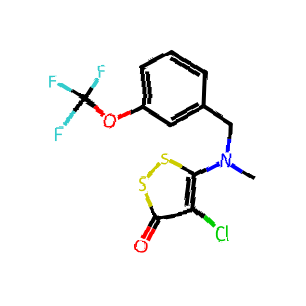 CN(Cc1cccc(OC(F)(F)F)c1)c1ssc(=O)c1Cl